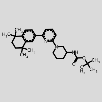 CC(C)(C)OC(=O)NC1CCCN(c2cccc(-c3ccc4c(c3)C(C)(C)CCC4(C)C)n2)C1